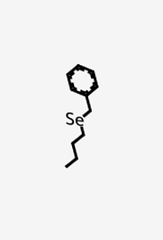 CCCC[Se]Cc1ccccc1